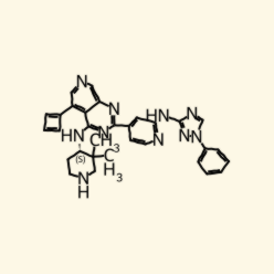 CC1(C)CNCC[C@@H]1Nc1nc(-c2ccnc(Nc3ncn(-c4ccccc4)n3)c2)nc2cncc(C3=CC=C3)c12